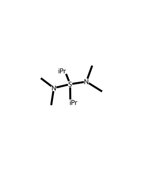 CC(C)S(C(C)C)(N(C)C)N(C)C